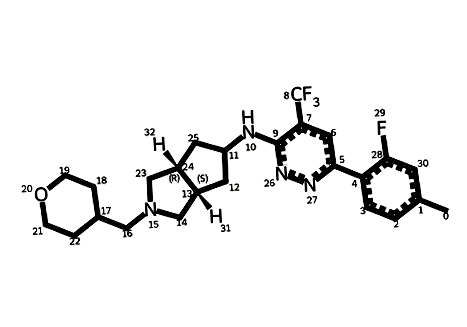 Cc1ccc(-c2cc(C(F)(F)F)c(NC3C[C@@H]4CN(CC5CCOCC5)C[C@@H]4C3)nn2)c(F)c1